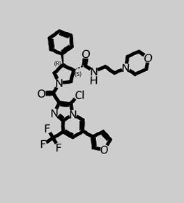 O=C(NCCN1CCOCC1)[C@@H]1CN(C(=O)c2nc3c(C(F)(F)F)cc(-c4ccoc4)cn3c2Cl)C[C@H]1c1ccccc1